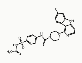 CC(=O)NS(=O)(=O)c1ccc(NC(=S)N2CCN(c3ncnc4[nH]c5cc(F)ccc5c34)CC2)cc1